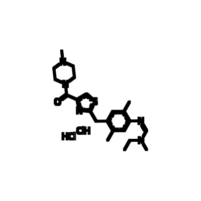 CCN(C)/C=N\c1cc(C)c(Cc2nc(C(=O)N3CCN(C)CC3)cs2)cc1C.Cl.Cl